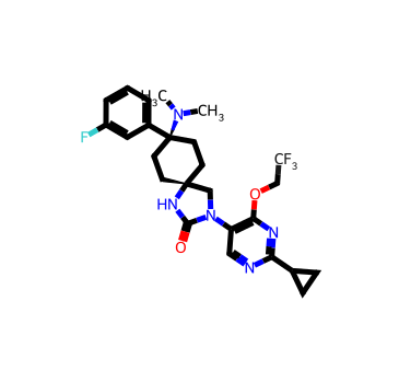 CN(C)[C@]1(c2cccc(F)c2)CC[C@@]2(CC1)CN(c1cnc(C3CC3)nc1OCC(F)(F)F)C(=O)N2